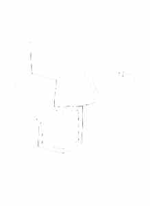 NS(=O)(=O)c1cccnc1C(F)C(F)F